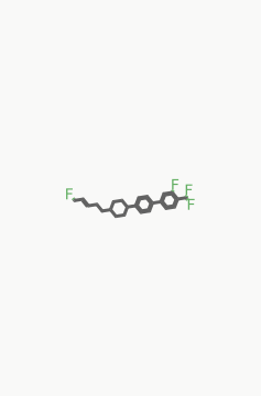 FCC=CCCC1CCC(c2ccc(-c3ccc(C(F)F)c(F)c3)cc2)CC1